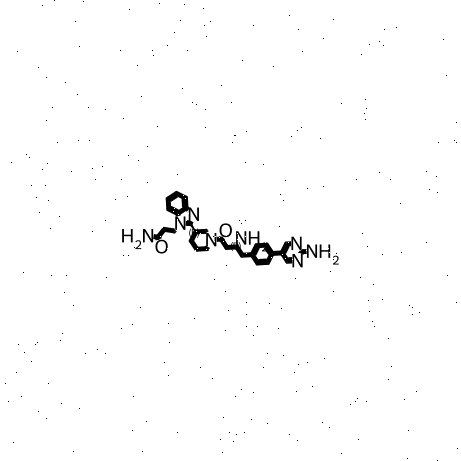 NC(=O)CCn1c([C@@H]2CCCN(C(=O)C[C@H](N)Cc3ccc(-c4cnc(N)nc4)cc3)C2)nc2ccccc21